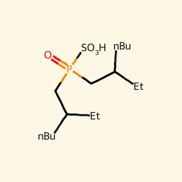 CCCCC(CC)CP(=O)(CC(CC)CCCC)S(=O)(=O)O